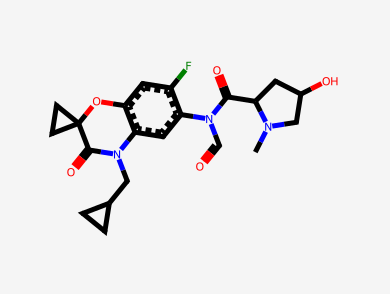 CN1CC(O)CC1C(=O)N(C=O)c1cc2c(cc1F)OC1(CC1)C(=O)N2CC1CC1